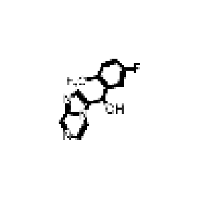 OC(c1cc(F)ccc1C(F)(F)F)c1cnc2cnccn12